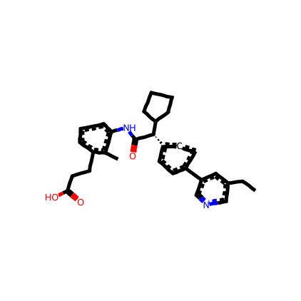 CCc1cncc(-c2ccc([C@H](C(=O)Nc3cccc(CCC(=O)O)c3C)C3CCCC3)cc2)c1